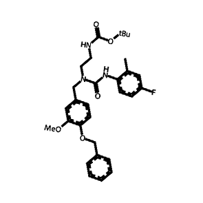 COc1cc(CN(CCNC(=O)OC(C)(C)C)C(=O)Nc2ccc(F)cc2C)ccc1OCc1ccccc1